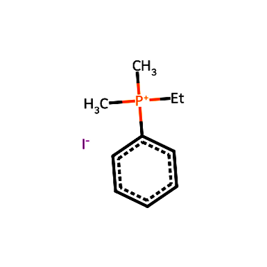 CC[P+](C)(C)c1ccccc1.[I-]